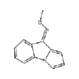 CO/N=C1\c2ccccc2-n2cccc21